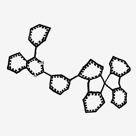 c1ccc(-c2nc(-c3cccc(-c4cccc5c4-c4ccccc4C54c5ccccc5-c5ccccc54)c3)nc3ccccc23)cc1